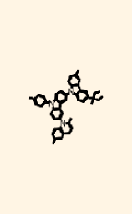 CCC(C)(CC)c1ccc2c(c1)c1cc(C)ccc1n2-c1ccc2c(c1)c1cc(N3C(C)=CCc4cc(C)ccc43)ccc1n2-c1ccc(C)cc1